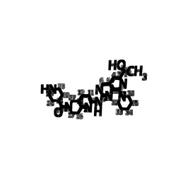 C[C@@H](O)c1cc2cnc(Nc3ccc4c(n3)CCN(C(=O)C3CCNCC3)C4)nc2c(N2CCCCC2)n1